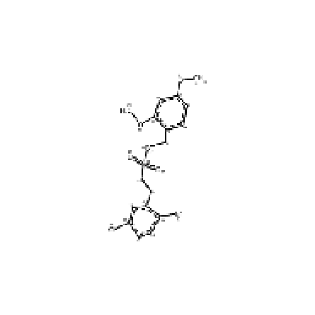 COc1ccc(CNS(=O)(=O)CCc2cc(Cl)ccc2Br)c(OC)c1